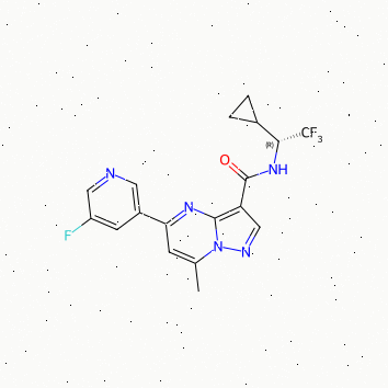 Cc1cc(-c2cncc(F)c2)nc2c(C(=O)N[C@H](C3CC3)C(F)(F)F)cnn12